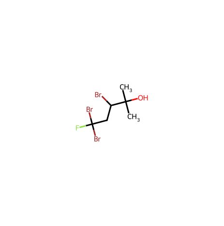 CC(C)(O)C(Br)CC(F)(Br)Br